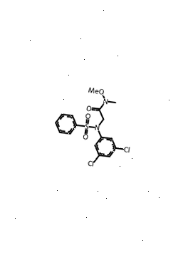 CON(C)C(=O)CN(c1cc(Cl)cc(Cl)c1)S(=O)(=O)c1ccccc1